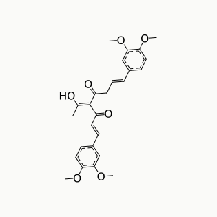 COc1ccc(/C=C/CC(=O)/C(C(=O)/C=C/c2ccc(OC)c(OC)c2)=C(/C)O)cc1OC